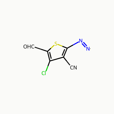 [N]=Nc1sc(C=O)c(Cl)c1C#N